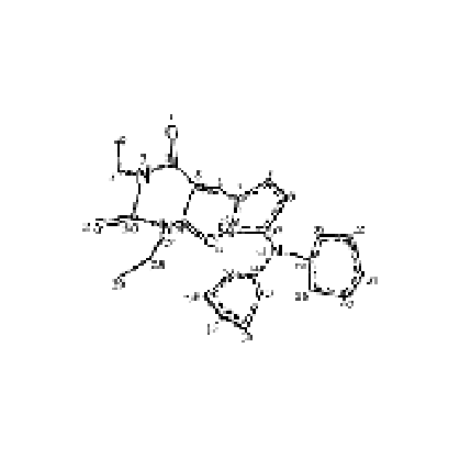 CCN1C(=O)C(=Cc2ccc(N(c3ccccc3)c3ccccc3)[se]2)C(=O)N(CC)C1=S